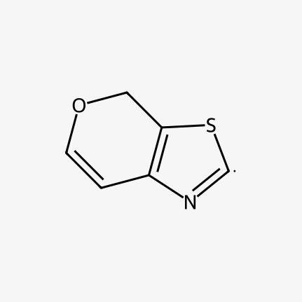 [c]1nc2c(s1)COC=C2